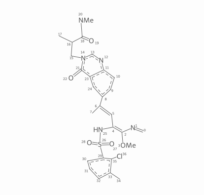 C=N/C(OC)=C(\C=C(/C)c1ccc2ncn(CC(C)C(=O)NC)c(=O)c2c1)NS(=O)(=O)c1cccc(C)c1Cl